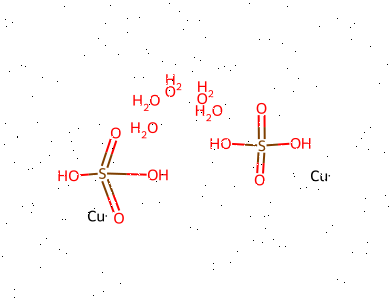 O.O.O.O.O.O=S(=O)(O)O.O=S(=O)(O)O.[Cu].[Cu]